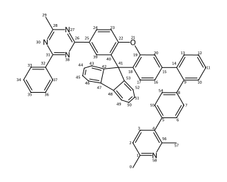 Cc1ccc(-c2ccc(-c3ccccc3-c3ccc4c(c3)Oc3ccc(-c5nc(C)nc(-c6ccccc6)n5)cc3C43c4ccccc4-c4ccccc43)cc2)c(C)n1